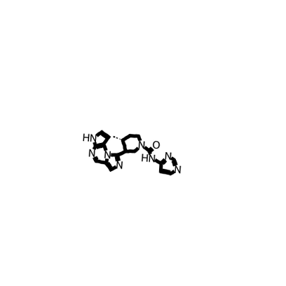 C[C@@H]1CCN(C(=O)Nc2ccncn2)CC1c1ncc2cnc3[nH]ccc3n12